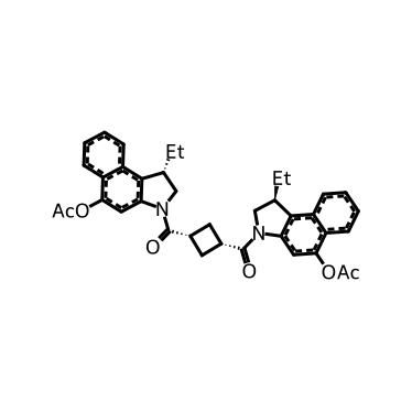 CC[C@@H]1CN(C(=O)[C@H]2C[C@@H](C(=O)N3C[C@@H](CC)c4c3cc(OC(C)=O)c3ccccc43)C2)c2cc(OC(C)=O)c3ccccc3c21